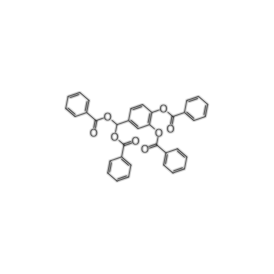 O=C(Oc1ccc(C(OC(=O)c2ccccc2)OC(=O)c2ccccc2)cc1OC(=O)c1ccccc1)c1ccccc1